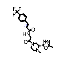 Cc1nnc([C@H]2CN(C(=O)CNC(=O)/C=C/c3ccc(C(F)(F)F)cc3)CCN2C)o1